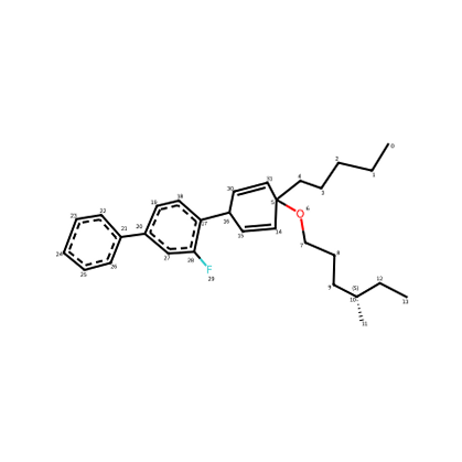 CCCCCC1(OCCC[C@@H](C)CC)C=CC(c2ccc(-c3ccccc3)cc2F)C=C1